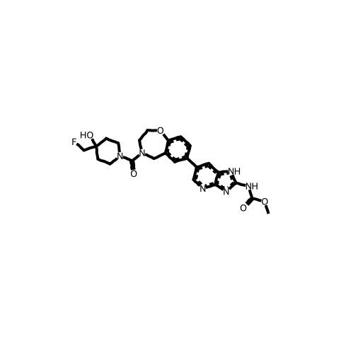 COC(=O)Nc1nc2ncc(-c3ccc4c(c3)CN(C(=O)N3CCC(O)(CF)CC3)CCO4)cc2[nH]1